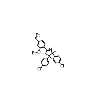 CCOc1cc(SCC)ccc1C1=NC(C)(c2ccc(Cl)cc2)C(C)(c2ccc(Cl)cc2)N1